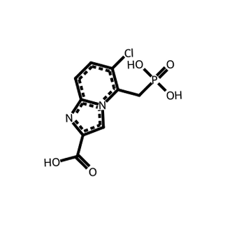 O=C(O)c1cn2c(CP(=O)(O)O)c(Cl)ccc2n1